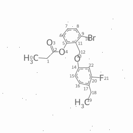 CCC(=O)Oc1cccc(Br)c1COc1ccc(CC)c(F)c1